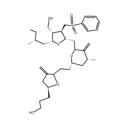 C=C1C[C@H](CCCO)OC1CC[C@H]1C[C@@H](C)C(=C)C(C[C@@H]2O[C@H](C[C@H](C)CC)[C@H](CO)[C@H]2CS(=O)(=O)c2ccccc2)O1